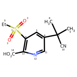 CCS(=O)(=O)c1cc(C(C)(C)C#N)cnc1C(=O)O